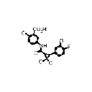 O=C(O)c1cc(NC(=O)C2C(c3ccc(F)c(Cl)c3)C2(Cl)Cl)ccc1Cl